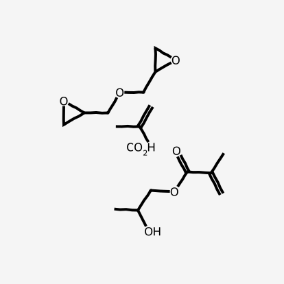 C(OCC1CO1)C1CO1.C=C(C)C(=O)O.C=C(C)C(=O)OCC(C)O